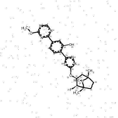 COc1ncnc(-c2ccc(-c3nnc(O[C@H]4C[C@]5(C)CC[C@](C)([C@H]4F)N5C)s3)c(O)c2)n1